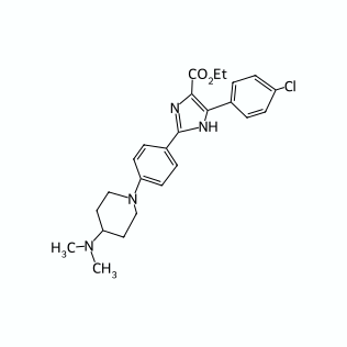 CCOC(=O)c1nc(-c2ccc(N3CCC(N(C)C)CC3)cc2)[nH]c1-c1ccc(Cl)cc1